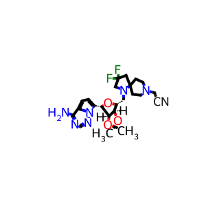 CC1(C)O[C@@H]2[C@H](O1)[C@@H](CN1CC(F)(F)CC13CCN(CC#N)CC3)O[C@H]2c1ccc2c(N)ncnn12